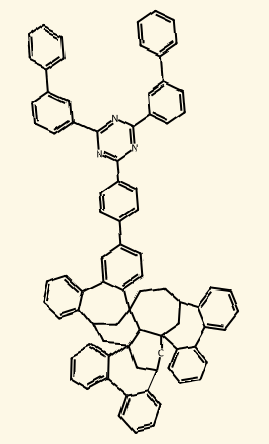 c1ccc(-c2cccc(-c3nc(-c4ccc(-c5ccc6c(c5)-c5ccccc5C5CC67CCC6CC8(CC9CC(C5)(c5ccccc5-c5ccccc59)C78)c5ccccc5-c5ccccc56)cc4)nc(-c4cccc(-c5ccccc5)c4)n3)c2)cc1